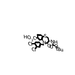 CC(C)(C)OC(=O)N[C@H]1CSc2ccc(C(=O)O)cc2N(Cc2ccc(Cl)c(Cl)c2)C1=O